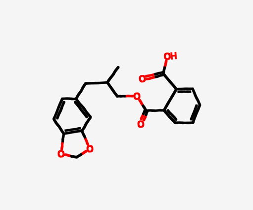 CC(COC(=O)c1ccccc1C(=O)O)Cc1ccc2c(c1)OCO2